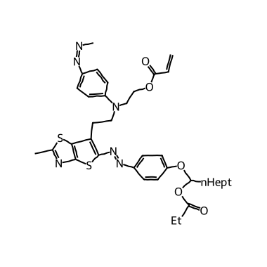 C=CC(=O)OCCN(CCc1c(N=Nc2ccc(OC(CCCCCCC)OC(=O)CC)cc2)sc2nc(C)sc12)c1ccc(/N=N\C)cc1